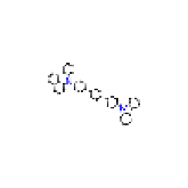 C1=Cc2c(c3ccccc3n2-c2ccc(-c3ccc(-c4ccc(N(c5ccccc5)c5cccc6ccccc56)cc4)cc3)cc2)CC1